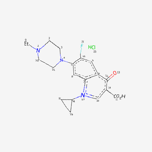 CCN1CCN(c2cc3c(cc2F)c(=O)c(C(=O)O)cn3C2CC2)CC1.Cl